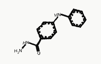 NNC(=O)c1ccc(Nc2ccccc2)cc1